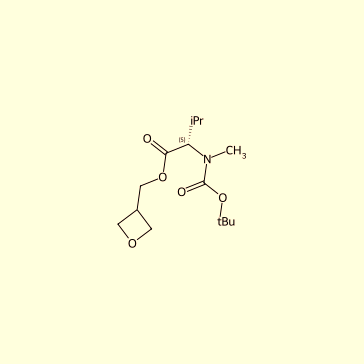 CC(C)[C@@H](C(=O)OCC1COC1)N(C)C(=O)OC(C)(C)C